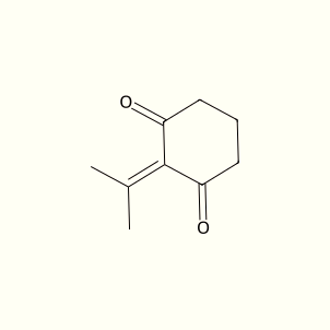 CC(C)=C1C(=O)CCCC1=O